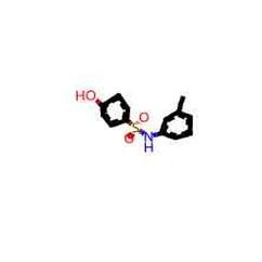 Cc1cccc(NS(=O)(=O)c2ccc(O)cc2)c1